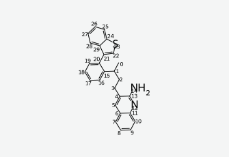 CC(CCc1cc2ccccc2nc1N)c1ccccc1-c1csc2ccccc12